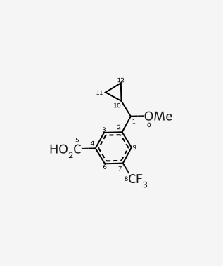 COC(c1cc(C(=O)O)cc(C(F)(F)F)c1)C1CC1